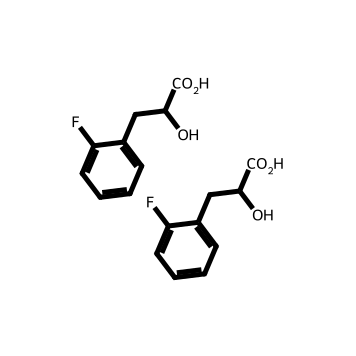 O=C(O)C(O)Cc1ccccc1F.O=C(O)C(O)Cc1ccccc1F